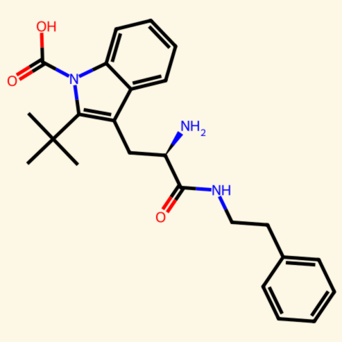 CC(C)(C)c1c(C[C@@H](N)C(=O)NCCc2ccccc2)c2ccccc2n1C(=O)O